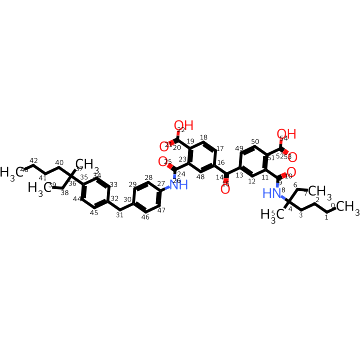 CCCCC(C)(CC)NC(=O)c1cc(C(=O)c2ccc(C(=O)O)c(C(=O)Nc3ccc(Cc4ccc(C(C)(CC)CCCC)cc4)cc3)c2)ccc1C(=O)O